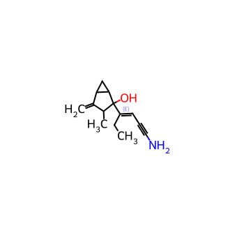 C=C1C2CC2C(O)(/C(=C/C#CN)CC)C1C